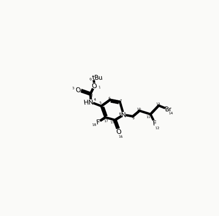 CC(C)(C)OC(=O)Nc1ccn(CCC(F)CBr)c(=O)c1F